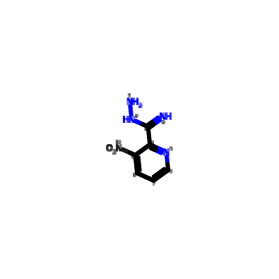 N=C(NN)c1ncccc1[N+](=O)[O-]